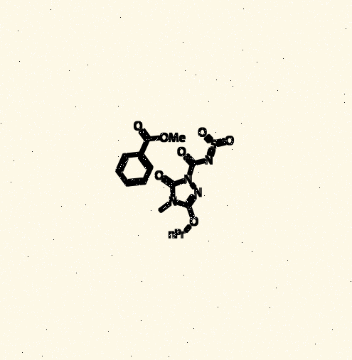 CCCOc1nn(C(=O)N=S(=O)=O)c(=O)n1C.COC(=O)c1ccccc1